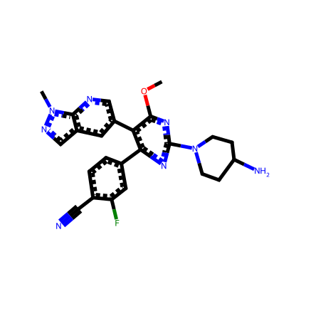 COc1nc(N2CCC(N)CC2)nc(-c2ccc(C#N)c(F)c2)c1-c1cnc2c(cnn2C)c1